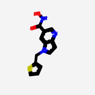 O=C(NO)c1cnc2ccn(Cc3cccs3)c2c1